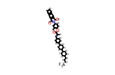 C/C(=C\c1ccc(C2CCC(C3CCC(CCCC(F)(F)F)CC3)CC2)cc1)C(=O)Oc1ccc(N2C(=O)C3C4CC(C3C2=O)C2C3C=CC(C3)C42)cc1C